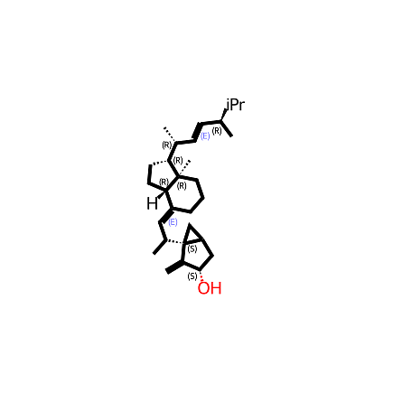 C=C1[C@@H](O)CC2C[C@]12C(C)/C=C1\CCC[C@]2(C)[C@@H]([C@H](C)/C=C/[C@H](C)C(C)C)CC[C@@H]12